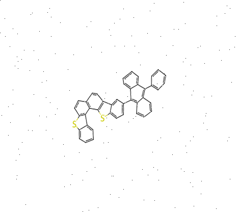 c1ccc(-c2c3ccccc3c(-c3ccc4sc5c(ccc6ccc7sc8ccccc8c7c65)c4c3)c3ccccc23)cc1